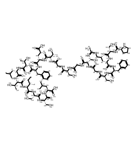 CC[C@H](C)[C@H](NC(=O)[C@@H](NC(=O)[C@H](CC(C)C)NC(=O)[C@@H](NC(=O)[C@H](Cc1ccccc1)NC(=O)[C@H](CCC(=O)O)NC(=O)[C@@H](NC(=O)CNC(=O)[C@H](CO)NC(=O)CNC(=O)[C@H](CO)NC(=O)CNC(=O)[C@H](CO)NC(=O)[C@H](Cc1ccccc1)NC(=O)[C@H](CCCNC(=N)N)NC(=O)[C@H](CO)NC(=O)[C@@H]1CCCN1)[C@@H](C)O)[C@@H](C)O)[C@@H](C)O)C(=O)N[C@@H](CO)C(=O)N[C@@H](CO)C(=O)N[C@@H](CC(C)C)C(=O)O